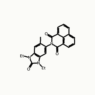 CCn1c(=O)n(CC)c2cc(N3C(=O)c4cccc5cccc(c45)C3=O)c(C)cc21